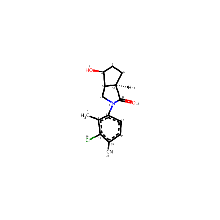 Cc1c(N2CC3[C@@H](O)CC[C@H]3C2=O)ccc(C#N)c1Cl